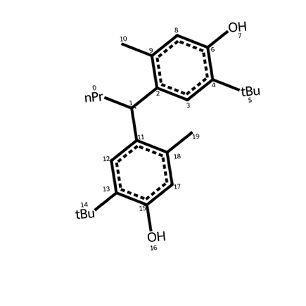 CCC[C](c1cc(C(C)(C)C)c(O)cc1C)c1cc(C(C)(C)C)c(O)cc1C